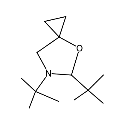 CC(C)(C)C1OC2(CC2)CN1C(C)(C)C